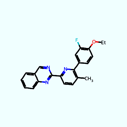 CCOc1ccc(-c2nc(-c3ncc4ccccc4n3)ccc2C)cc1F